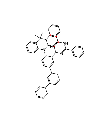 CC1(C)c2ccccc2N([C@H]2C=CC(C3C=C(C4C=CC=CC4)C=CC3)=CC2C2N=C(c3ccccc3)NC(C3=CC=CCC3)N2)C2C=CC=CC21